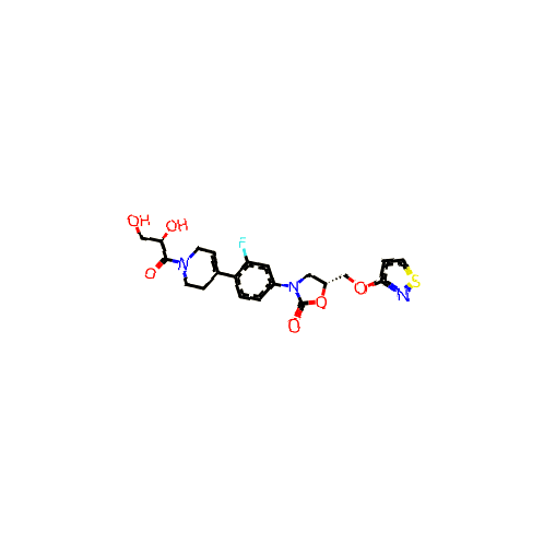 O=C([C@H](O)CO)N1CC=C(c2ccc(N3C[C@H](COc4ccsn4)OC3=O)cc2F)CC1